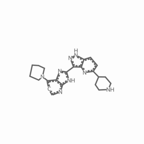 c1cc(N2CCCCC2)c2nc(-c3n[nH]c4ccc(C5CCNCC5)nc34)[nH]c2n1